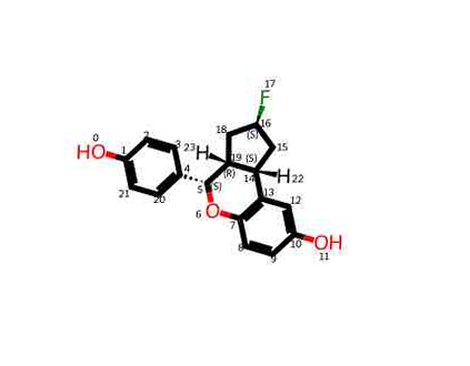 Oc1ccc([C@H]2Oc3ccc(O)cc3[C@H]3C[C@H](F)C[C@H]32)cc1